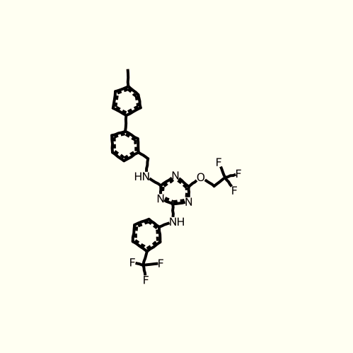 Cc1ccc(-c2cccc(CNc3nc(Nc4cccc(C(F)(F)F)c4)nc(OCC(F)(F)F)n3)c2)cc1